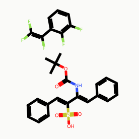 CC(C)(C)OC(=O)NC(=Cc1ccccc1)C(=Cc1ccccc1)S(=O)(=O)O.FC(F)=C(F)c1cccc(F)c1F